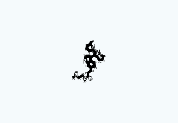 Cc1cccc(-c2nn3c(c2-c2ccnc4cc(CCC(=O)N(C)CCN(C)C)ccc24)CCC3)n1